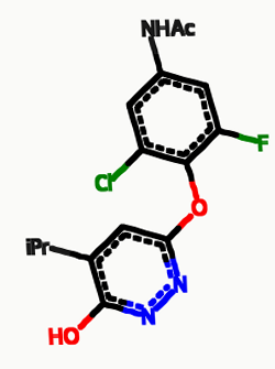 CC(=O)Nc1cc(F)c(Oc2cc(C(C)C)c(O)nn2)c(Cl)c1